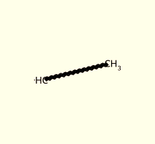 [CH]=CC=CC=CC=CC=CC=CC=CC=CC=CC=CC=CC=CC=CCC